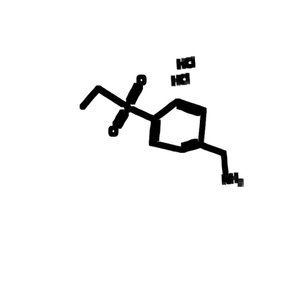 CCS(=O)(=O)c1ccc(CN)cc1.Cl.Cl